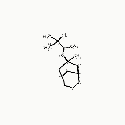 CC(OC1(C)CC2CCCC(C2)C1)C(C)(C)C